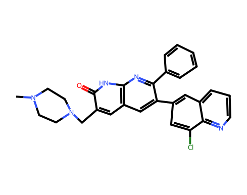 CN1CCN(Cc2cc3cc(-c4cc(Cl)c5ncccc5c4)c(-c4ccccc4)nc3[nH]c2=O)CC1